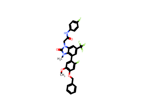 COc1cc(-c2cc(C(F)(F)F)cc3c2n(C)c(=O)n3CC(=O)Nc2ccc(F)cc2)c(F)cc1OCc1ccccc1